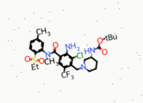 CCS(=O)(=O)c1ccc(C)cc1N(C)C(=O)c1cc(C(F)(F)F)c(CN2CCC[C@@H](NC(=O)OC(C)(C)C)C2)c(Cl)c1N